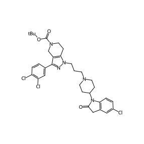 CC(C)(C)OC(=O)N1CCc2c(c(-c3ccc(Cl)c(Cl)c3)nn2CCCN2CCC(N3C(=O)Cc4cc(Cl)ccc43)CC2)C1